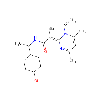 C=CN1C(C)=CC(C)=N/C1=C(/CCCC)C(=O)NC(C)C1CCC(O)CC1